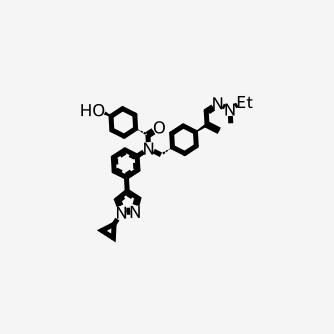 C=C(/C=N\N(C)CC)[C@H]1CC[C@H](CN(c2cccc(-c3cnn(C4CC4)c3)c2)C(=O)[C@H]2CC[C@H](O)CC2)CC1